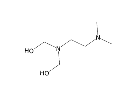 CN(C)CCN(CO)CO